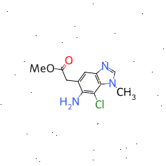 COC(=O)Cc1cc2ncn(C)c2c(Cl)c1N